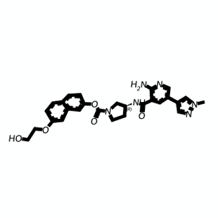 Cn1cc(-c2cnc(N)c(C(=O)N[C@@H]3CCN(C(=O)Oc4ccc5ccc(OCCO)cc5c4)C3)c2)cn1